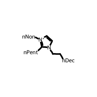 CCCCCCCCCCCCn1cc[n+](CCCCCCCCC)c1CCCCC